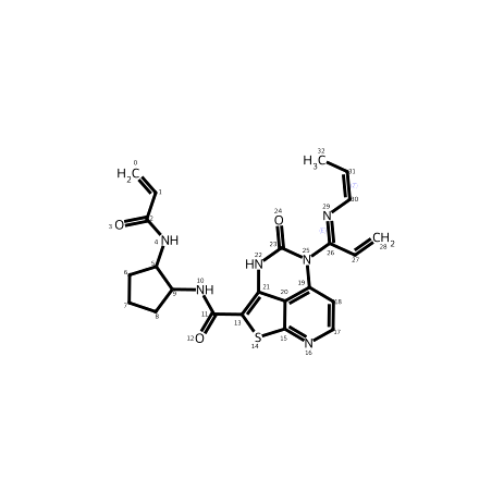 C=CC(=O)NC1CCCC1NC(=O)c1sc2nccc3c2c1NC(=O)N3/C(C=C)=N/C=C\C